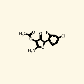 CC(=O)OC1=C(N)OC(c2ccc(Cl)cc2F)C1=O